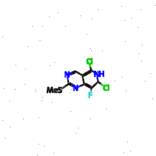 CSc1ncc2c(n1)=C(F)C(Cl)NC=2Cl